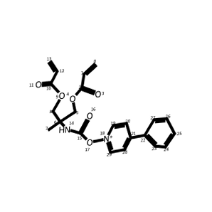 C=CC(=O)OCC(C)(COC(=O)C=C)NC(=O)O[n+]1ccc(-c2ccccc2)cc1